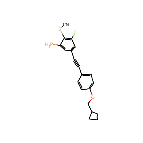 N#CSc1c(F)cc(C#Cc2ccc(OCC3CCC3)cc2)cc1P